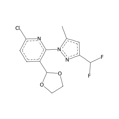 Cc1cc(C(F)F)nn1-c1nc(Cl)ccc1C1OCCO1